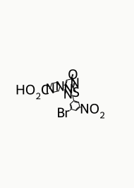 O=C(O)N1CCN(c2cc(=O)nc3sc(-c4cc(Br)cc([N+](=O)[O-])c4)nn23)CC1